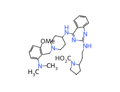 COc1cccc(N(C)C)c1CN1CCC(Nc2nc(NCCC3CCCN3C(=O)O)nc3ccccc23)CC1